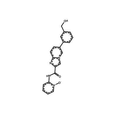 O=C(Nc1cccc[n+]1[O-])c1cn2cc(-c3cccc(CO)c3)ccc2n1